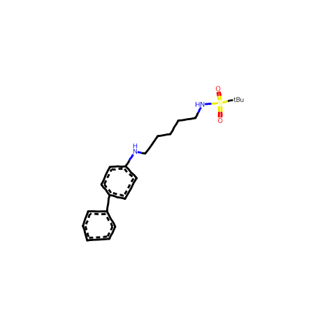 CC(C)(C)S(=O)(=O)NCCCCCNc1ccc(-c2ccccc2)cc1